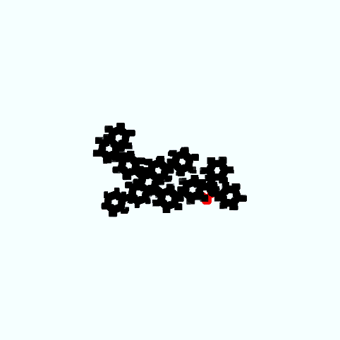 c1ccc(-c2ccc3c(-c4cccc(-c5ccc6c(-c7ccccc7)c(-c7ccccc7)oc6c5)c4)c4cc(-c5ccccc5)ccc4c(-c4ccc(-c5cccc6ccccc56)cc4)c3c2)cc1